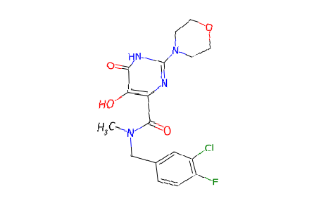 CN(Cc1ccc(F)c(Cl)c1)C(=O)c1nc(N2CCOCC2)[nH]c(=O)c1O